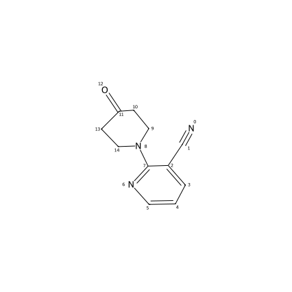 N#Cc1cccnc1N1CCC(=O)CC1